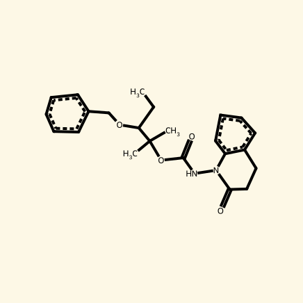 CCC(OCc1ccccc1)C(C)(C)OC(=O)NN1C(=O)CCc2ccccc21